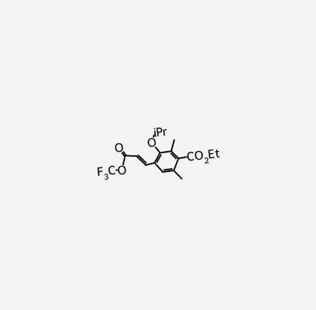 CCOC(=O)c1c(C)cc(C=CC(=O)OC(F)(F)F)c(OC(C)C)c1C